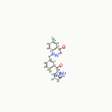 O=C(c1cc(Cn2ncc(=O)c3cc(F)ccc32)ccc1F)N1CC2CCC1CN2